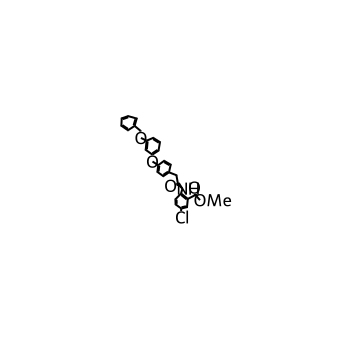 COC(=O)c1cc(Cl)ccc1NC(=O)Cc1ccc(Oc2cccc(OCc3ccccc3)c2)cc1